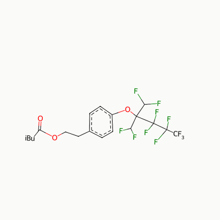 CCC(C)C(=O)OCCc1ccc(OC(C(F)F)(C(F)F)C(F)(F)C(F)(F)C(F)(F)F)cc1